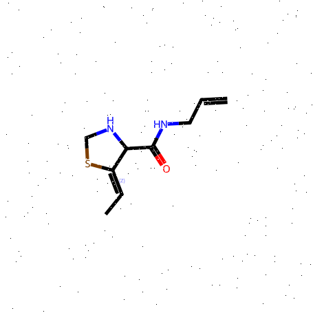 C=CCNC(=O)C1NCS/C1=C\C